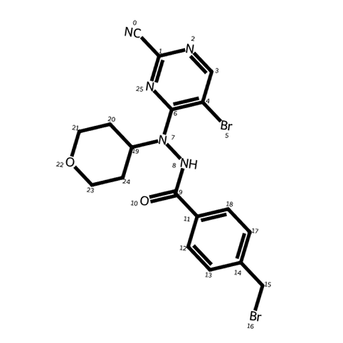 N#Cc1ncc(Br)c(N(NC(=O)c2ccc(CBr)cc2)C2CCOCC2)n1